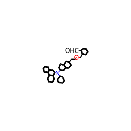 O=Cc1ccccc1COC=Cc1ccc2cc(N(c3ccccc3)c3cc4ccccc4c4ccccc34)ccc2c1